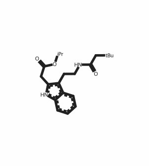 CC(C)OC(=O)Cc1[nH]c2ccccc2c1CCNC(=O)CC(C)(C)C